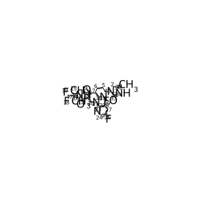 C[C@@H]1CN(c2ccc3c(=O)c(C(=O)NC(C)(C)C(F)F)cn(-c4ncc(F)cc4F)c3n2)C(=O)N1